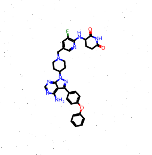 Nc1ncnc2c1c(-c1ccc(Oc3ccccc3)cc1)nn2C1CCN(Cc2cnc(NC3CCC(=O)NC3=O)c(F)c2)CC1